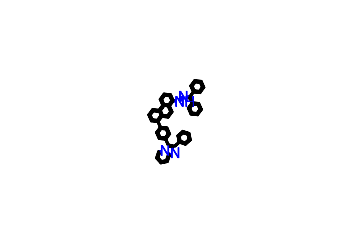 c1ccc(C(=NNc2cccc3c2ccc2c(-c4ccc(-c5c(-c6ccccc6)nc6ccccn56)cc4)cccc23)c2ccccc2)cc1